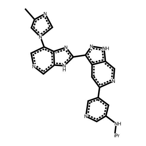 Cc1cn(-c2cncc3[nH]c(-c4n[nH]c5cnc(-c6cncc(NC(C)C)c6)cc45)nc23)cn1